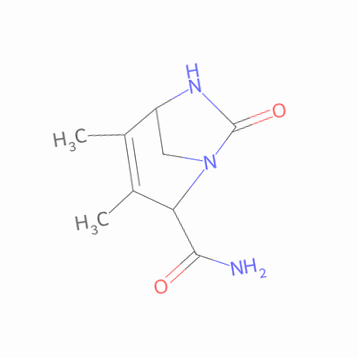 CC1=C(C)C(C(N)=O)N2CC1NC2=O